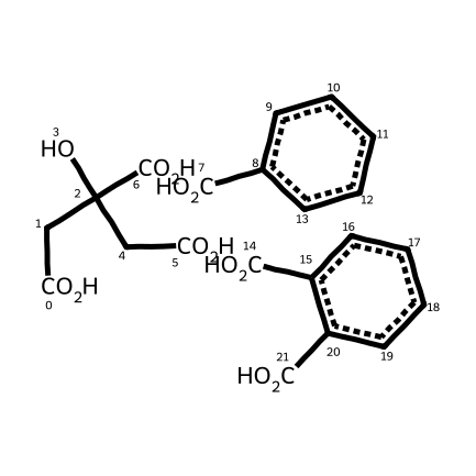 O=C(O)CC(O)(CC(=O)O)C(=O)O.O=C(O)c1ccccc1.O=C(O)c1ccccc1C(=O)O